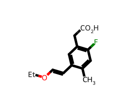 CCOC=Cc1cc(CC(=O)O)c(F)cc1C